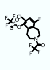 O=C(N1CCc2c(F)cc(Cl)c(OS(=O)(=O)C(F)(F)F)c2CC1)C(F)(F)F